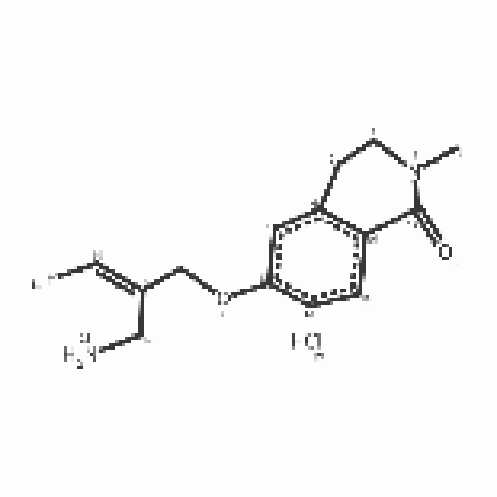 CN1CCc2cc(OC/C(=C/F)CN)ccc2C1=O.Cl